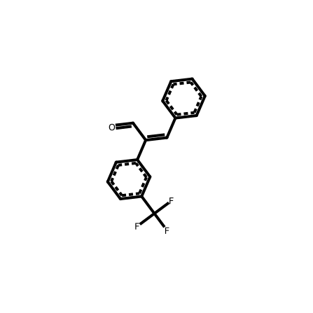 O=CC(=Cc1ccccc1)c1cccc(C(F)(F)F)c1